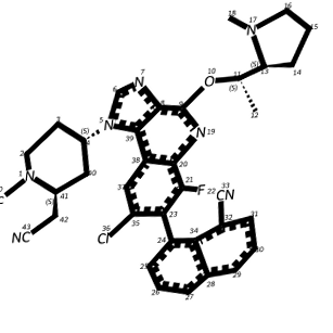 CC(=O)N1CC[C@H](n2cnc3c(O[C@@H](C)[C@@H]4CCCN4C)nc4c(F)c(-c5cccc6cccc(C#N)c56)c(Cl)cc4c32)C[C@H]1CC#N